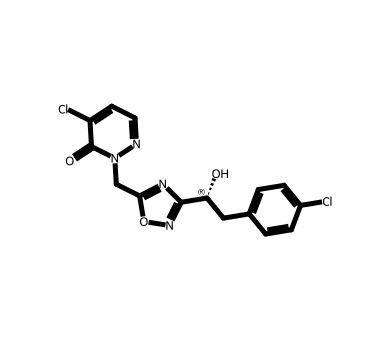 O=c1c(Cl)ccnn1Cc1nc([C@H](O)Cc2ccc(Cl)cc2)no1